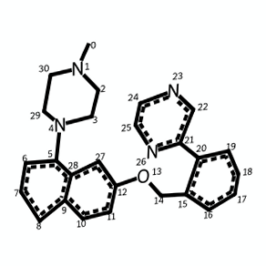 CN1CCN(c2cccc3ccc(OCc4ccccc4-c4cnccn4)cc23)CC1